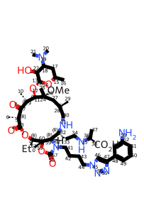 CC[C@H]1OC(=O)[C@H](C)C(=O)[C@H](C)[C@@H](O[C@@H]2OC(C)CC(N(C)C)C2O)[C@](C)(OC)C[C@@H](C)CN[C@H](CCN[C@@H](C)C(=O)O)[C@H]2N(CCCCn3cc(-c4cccc(N)c4)nn3)C(=O)O[C@]12C